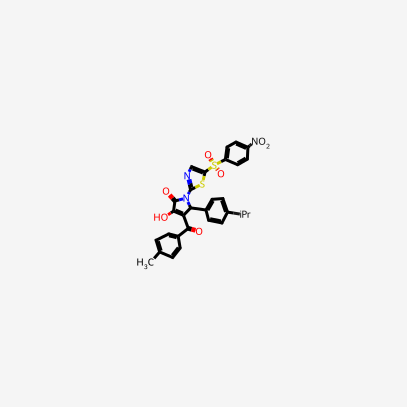 Cc1ccc(C(=O)C2=C(O)C(=O)N(c3ncc(S(=O)(=O)c4ccc([N+](=O)[O-])cc4)s3)C2c2ccc(C(C)C)cc2)cc1